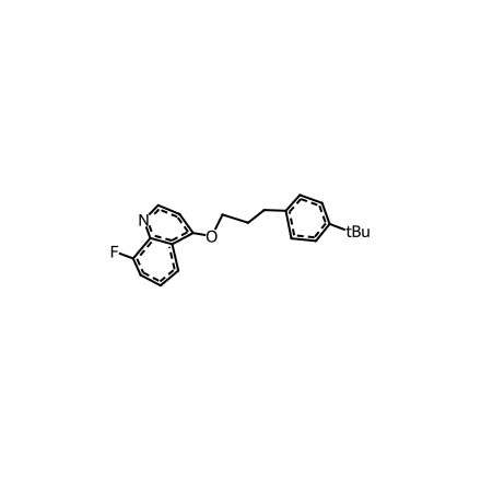 CC(C)(C)c1ccc(CCCOc2ccnc3c(F)cccc23)cc1